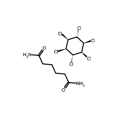 Cl[C@H]1[C@H](Cl)[C@@H](Cl)[C@@H](Cl)[C@H](Cl)[C@H]1Cl.NC(=O)CCCCC(N)=O